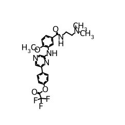 COc1ccc(C(=O)NCCN(C)C)cc1Nc1cncc(-c2ccc(OC(=O)C(F)(F)F)cc2)n1